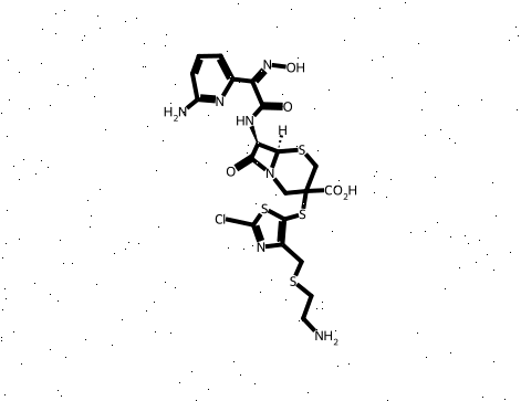 NCCSCc1nc(Cl)sc1SC1(C(=O)O)CS[C@@H]2[C@H](NC(=O)/C(=N\O)c3cccc(N)n3)C(=O)N2C1